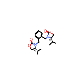 CC(C)[C@@H]1COC(=O)N1Cc1ccccc1CN1C(=O)OC[C@H]1C(C)C